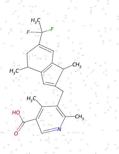 Cc1ncc(C(=O)O)c(C)c1CC1=CC2=C(C=C(C(C)(F)F)CC2C)C1C